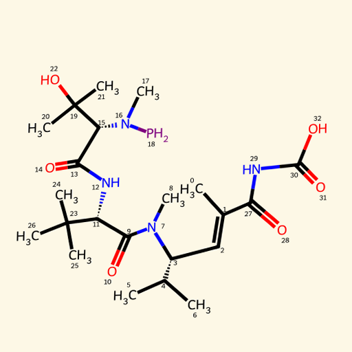 C/C(=C\[C@H](C(C)C)N(C)C(=O)[C@@H](NC(=O)[C@@H](N(C)P)C(C)(C)O)C(C)(C)C)C(=O)NC(=O)O